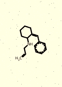 C=CCNC1CCCC/C1=C/c1ccccc1